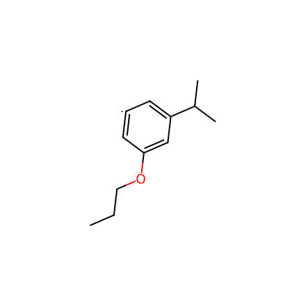 CCCOc1c[c]cc(C(C)C)c1